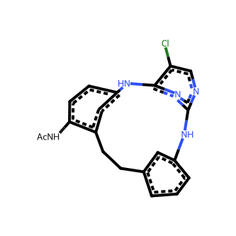 CC(=O)Nc1ccc2cc1CCc1cccc(c1)Nc1ncc(Cl)c(n1)N2